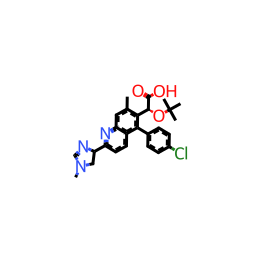 Cc1cc2nc(C3CN(C)C=N3)ccc2c(-c2ccc(Cl)cc2)c1[C@H](OC(C)(C)C)C(=O)O